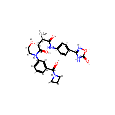 CC(=O)O[C@@H](C(=O)Nc1ccc(-c2noc(=O)[nH]2)cc1)[C@H]1OCCN(c2cccc(C(=O)N3CCC3)c2)C1=O